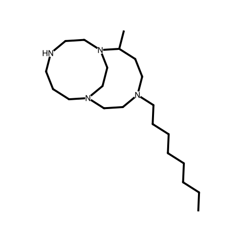 CCCCCCCCN1CCC(C)N2CCNCCCN(CC1)CC2